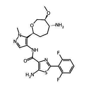 CO[C@@H]1CO[C@H](c2c(NC(=O)c3nc(-c4c(F)cccc4F)sc3N)cnn2C)CC[C@H]1N